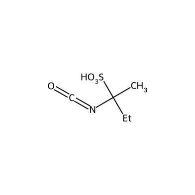 CCC(C)(N=C=O)S(=O)(=O)O